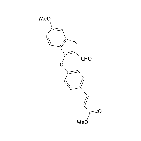 COC(=O)C=Cc1ccc(Oc2c(C=O)sc3cc(OC)ccc23)cc1